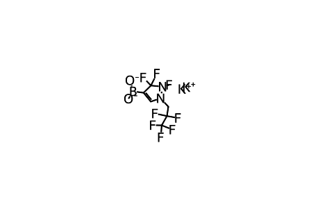 [K+].[K+].[O-]B([O-])C1=CN(CC(F)(F)C(F)(F)F)N(F)C1(F)F